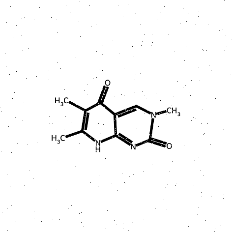 Cc1[nH]c2nc(=O)n(C)cc2c(=O)c1C